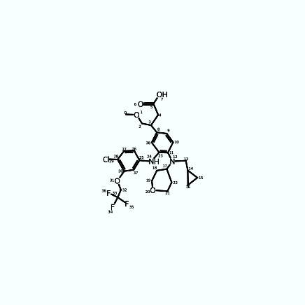 COCC(CC(=O)O)c1ccc(N(CC2CC2)C2CCOCC2)c(Nc2ccc(Cl)c(OCC(F)(F)F)c2)c1